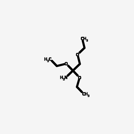 CCOCC(N)(OCC)OCC